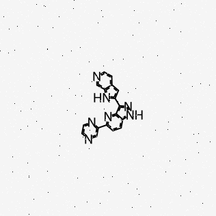 c1cnc(-c2ccc3[nH]nc(-c4cc5ccncc5[nH]4)c3n2)cn1